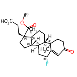 CC(C)OC(=O)[C@@]1(CCC(=O)O)CC[C@H]2[C@@H]3C[C@@H](F)C4=CC(=O)CC[C@]4(C)[C@H]3CC[C@@]21C